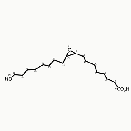 O=C(O)CCCCCCC[C@@H]1OC1CCCCCCCCO